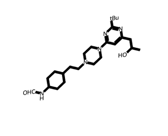 CC(O)Cc1cc(N2CCN(CCC3CCC(NC=O)CC3)CC2)nc(C(C)(C)C)n1